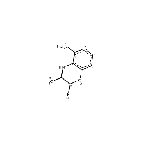 CC1Nc2c(cccc2C(=O)O)OC1F